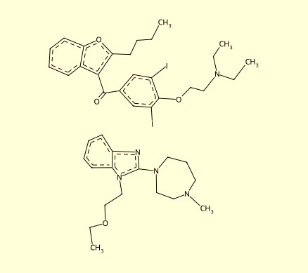 CCCCc1oc2ccccc2c1C(=O)c1cc(I)c(OCCN(CC)CC)c(I)c1.CCOCCn1c(N2CCCN(C)CC2)nc2ccccc21